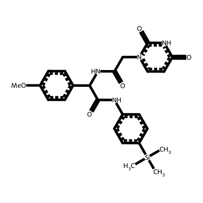 COc1ccc(C(NC(=O)Cn2ccc(=O)[nH]c2=O)C(=O)Nc2ccc([Si](C)(C)C)cc2)cc1